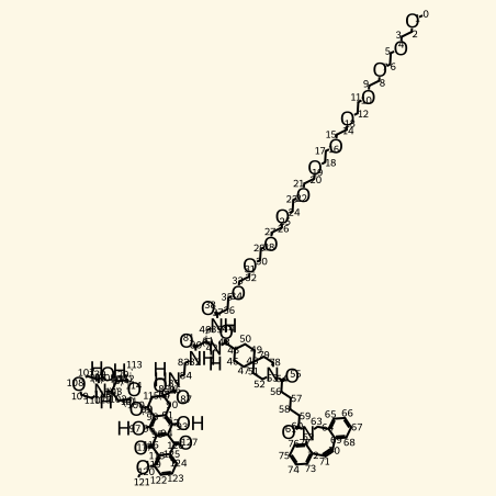 COCCOCCOCCOCCOCCOCCOCCOCCOCCOCCOCCOCCC(=O)NC[C@H](NC(=O)C1CCC2(CC1)CCN(C(=O)CCCCC(=O)N1Cc3ccccc3C#Cc3ccccc31)CC2)C(=O)NCCNC(=O)[C@]1(O)Cc2c(O)c3c(c(O)c2[C@@H](O[C@H]2C[C@H]4[C@H](O[C@@H]5COCCN54)[C@H](C)O2)C1)C(=O)c1c(OC)cccc1C3=O